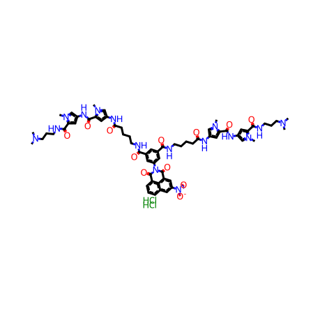 CN(C)CCCNC(=O)c1cc(NC(=O)c2cc(NC(=O)CCCCNC(=O)c3cc(C(=O)NCCCCC(=O)Nc4cc(C(=O)Nc5cc(C(=O)NCCCN(C)C)n(C)c5)n(C)c4)cc(N4C(=O)c5cccc6cc([N+](=O)[O-])cc(c56)C4=O)c3)cn2C)cn1C.Cl.Cl